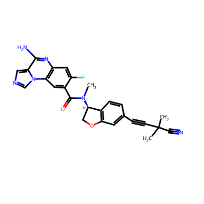 CN(C(=O)c1cc2c(cc1F)nc(N)c1cncn12)[C@@H]1COc2cc(C#CC(C)(C)C#N)ccc21